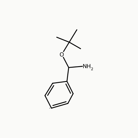 CC(C)(C)OC(N)c1cc[c]cc1